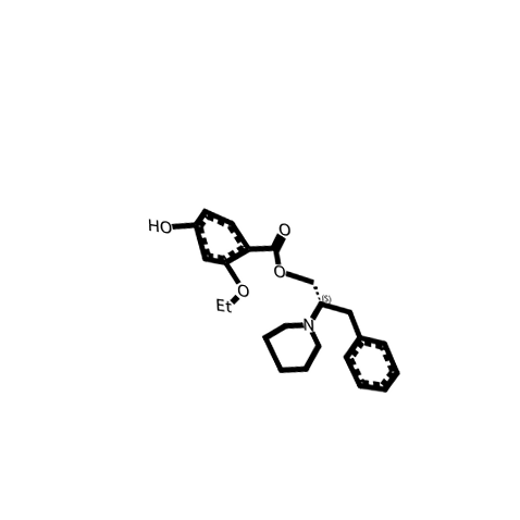 CCOc1cc(O)ccc1C(=O)OC[C@H](Cc1ccccc1)N1CCCCC1